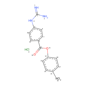 Cl.N=C(N)Nc1ccc(C(=O)Oc2ccc([N+](=O)[O-])cc2)cc1